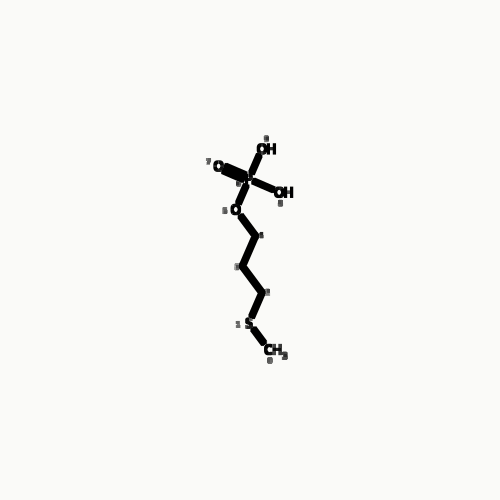 CSCCCOP(=O)(O)O